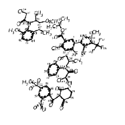 CC(C)OC(=O)c1cc(-c2nn(C)c(C(F)(F)F)c2Br)c(F)cc1Cl.CC1COc2ccccc2N1C(=O)C(Cl)Cl.CCc1cccc(C)c1N(C(=O)CCl)C(C)COC.CS(=O)(=O)c1ccc(C(=O)C2C(=O)CCCC2=O)c([N+](=O)[O-])c1